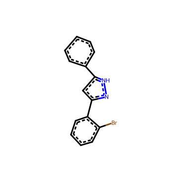 Brc1ccccc1-c1cc(-c2ccccc2)[nH]n1